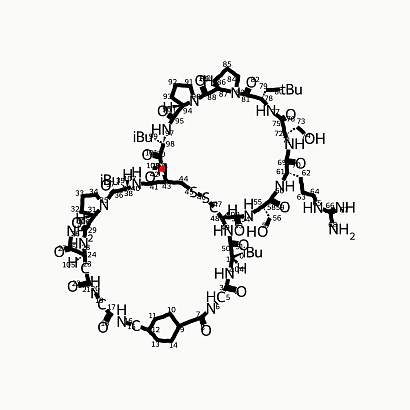 CC[C@H](C)[C@@H]1NC(=O)CNC(=O)C2CCC(CC2)CNC(=O)CNC(=O)C[C@@H](C(N)=O)NC(=O)[C@@H]2CCCN2C(=O)[C@H]([C@@H](C)CC)NC(=O)[C@@H]2CSSC[C@H](NC1=O)C(=O)N[C@@H](CO)C(=O)N[C@@H](CCCNC(=N)N)C(=O)N[C@@H](CO)C(=O)N[C@@H](CC(C)(C)C)C(=O)N1CCC[C@H]1C(=O)N1CCC[C@H]1C(=O)N[C@@H]([C@@H](C)CC)C(=O)N2C